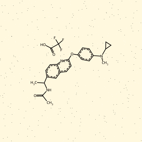 CC(=O)NC(C)c1ccc2nc(Oc3ccc(N(C)C4CC4)cc3)ccc2c1.O=C(O)C(F)(F)F